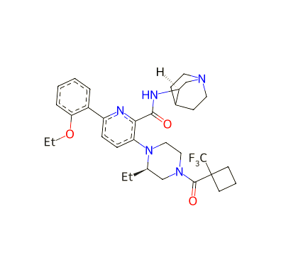 CCOc1ccccc1-c1ccc(N2CCN(C(=O)C3(C(F)(F)F)CCC3)C[C@H]2CC)c(C(=O)N[C@H]2CN3CCC2CC3)n1